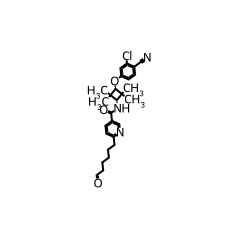 CC1(C)[C@H](NC(=O)c2ccc(CCCCCC=O)nc2)C(C)(C)[C@H]1Oc1ccc(C#N)c(Cl)c1